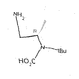 C[C@@H](CN)N(C(=O)O)C(C)(C)C